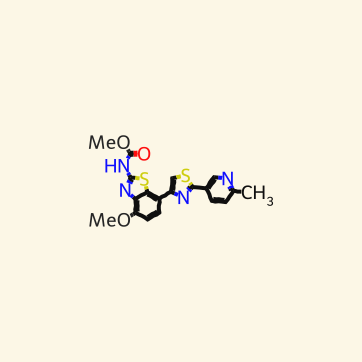 COC(=O)Nc1nc2c(OC)ccc(-c3csc(-c4ccc(C)nc4)n3)c2s1